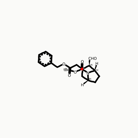 CC(C)(C)OC(=O)N1[C@@H]2CC[C@H]1[C@H](C=O)N(CC(=O)OCc1ccccc1)C2